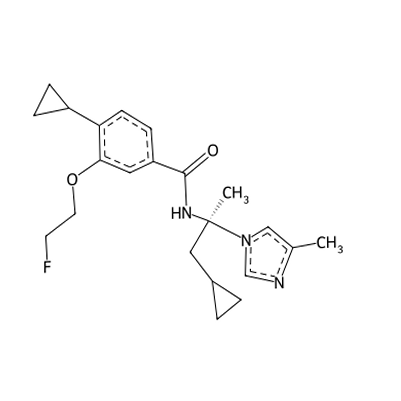 Cc1cn([C@@](C)(CC2CC2)NC(=O)c2ccc(C3CC3)c(OCCF)c2)cn1